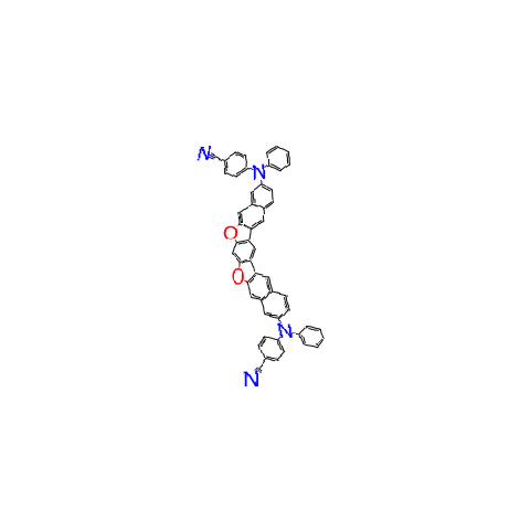 N#Cc1ccc(N(c2ccccc2)c2ccc3cc4c(cc3c2)oc2cc3oc5cc6cc(N(c7ccccc7)c7ccc(C#N)cc7)ccc6cc5c3cc24)cc1